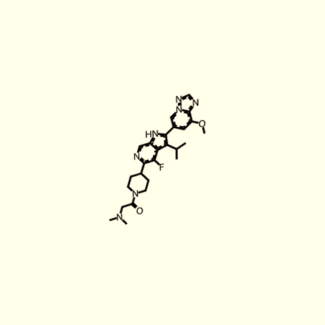 COc1cc(-c2[nH]c3cnc(C4CCN(C(=O)CN(C)C)CC4)c(F)c3c2C(C)C)cn2ncnc12